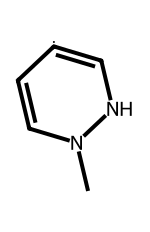 CN1C=C[C]=CN1